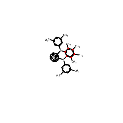 Cc1cc(C)cc(P(c2cc(C)cc(C)c2)[C]23[CH]4[CH]5[CH]6[C]2(P(c2cc(C)cc(C)c2)c2cc(C)cc(C)c2)[Fe]54632789[CH]3[CH]2[CH]7[CH]8[CH]39)c1